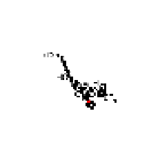 CCCCCCCCCCCCCCCCCC(O)CCN1CCN(c2c(CC)n(CC(=O)Nc3ccc(C(F)(F)F)cc3Cl)c3nc(C4=CC5CCC4C5)nn3c2=O)CC1